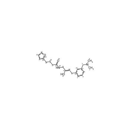 CN(C)Cc1ccnc(CC=C(O)CNC(=O)CSCc2ccco2)c1